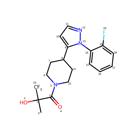 CC(O)(C(=O)N1CCC(c2ccnn2-c2ccccc2F)CC1)C(F)(F)F